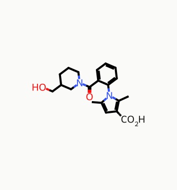 Cc1cc(C(=O)O)c(C)n1-c1ccccc1C(=O)N1CCCC(CO)C1